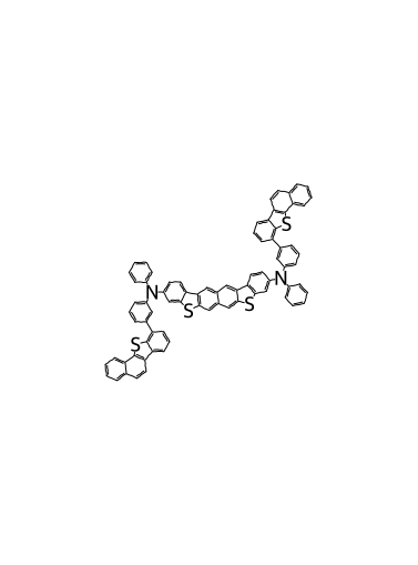 c1ccc(N(c2cccc(-c3cccc4c3sc3c5ccccc5ccc43)c2)c2ccc3c(c2)sc2cc4cc5sc6cc(N(c7ccccc7)c7cccc(-c8cccc9c8sc8c%10ccccc%10ccc98)c7)ccc6c5cc4cc23)cc1